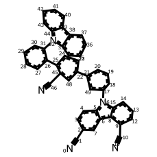 N#Cc1ccc2c(c1)c1c(C#N)cccc1n2-c1cccc(-c2ccc(-c3ccccc3-n3c4ccccc4c4ccccc43)c(C#N)c2)c1